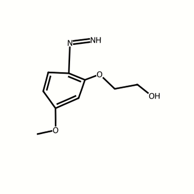 COc1ccc(N=N)c(OCCO)c1